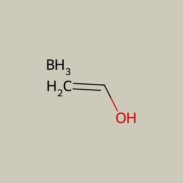 B.C=CO